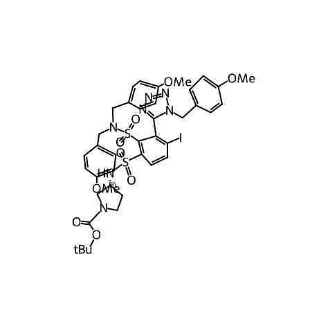 COc1ccc(CN(Cc2ccc(OC)cc2)S(=O)(=O)c2c(S(=O)(=O)N[C@@H]3CCN(C(=O)OC(C)(C)C)C3)ccc(I)c2-c2nnnn2Cc2ccc(OC)cc2)cc1